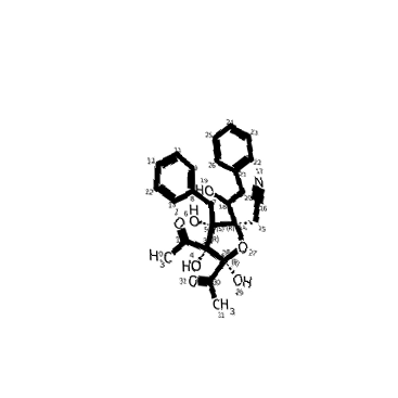 CC(=O)[C@@]1(O)[C@@](O)(Cc2ccccc2)[C@@](CC#N)(C(O)Cc2ccccc2)O[C@@]1(O)C(C)=O